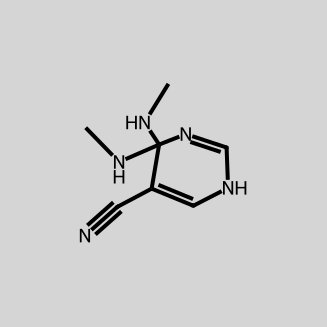 CNC1(NC)N=CNC=C1C#N